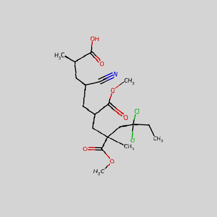 CCC(Cl)(Cl)CC(C)(CC(CC(C#N)CC(C)C(=O)O)C(=O)OC)C(=O)OC